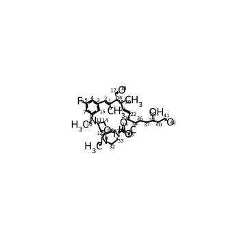 C/C(=C\c1cc(F)cc(N(C)C2COC2)c1)[C@@H](C=O)[C@@H](C)/C=C/[C@H](OC(=O)N1CCN(C)CC1)[C@@H](C)CC[C@@H](O)CC=O